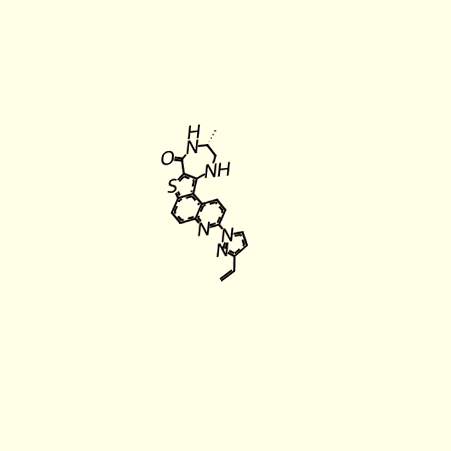 C=Cc1ccn(-c2ccc3c(ccc4sc5c(c43)NC[C@@H](C)NC5=O)n2)n1